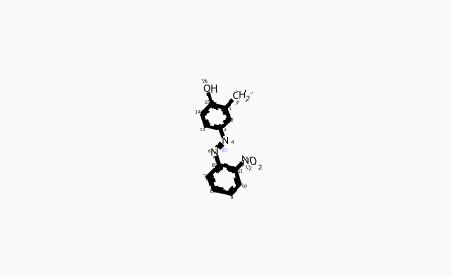 [CH2]c1cc(/N=N/c2ccccc2[N+](=O)[O-])ccc1O